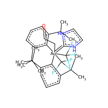 CC(C)c1cccc(C(C)C)[c]1[Au]([CH2]C=O)([c]1c(C(C)C)cccc1C(C)C)(=[c]1[nH]cc[nH]1)([C](F)(F)F)[C](F)(F)F